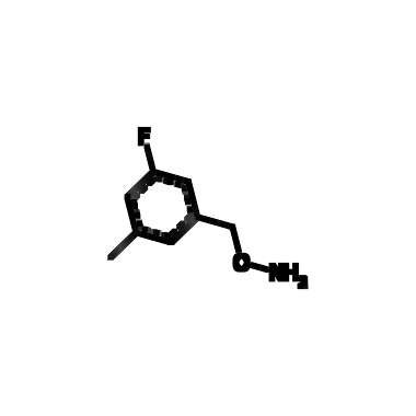 Cc1cc(F)cc(CON)c1